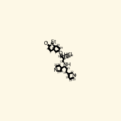 CCn1c(=O)ccc2cc(OCCCNC(CCc3cccnc3)c3ccncc3)ccc21.Cl.Cl.Cl